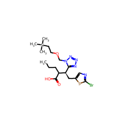 CCCC(C(=O)O)[C@H](Cc1cnc(Br)s1)c1nnnn1COCC[Si](C)(C)C